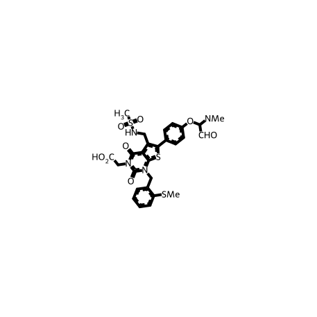 CNC(C=O)Oc1ccc(-c2sc3c(c2CNS(C)(=O)=O)c(=O)n(CC(=O)O)c(=O)n3Cc2ccccc2SC)cc1